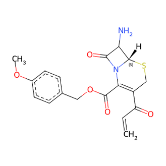 C=CC(=O)C1=C(C(=O)OCc2ccc(OC)cc2)N2C(=O)C(N)[C@@H]2SC1